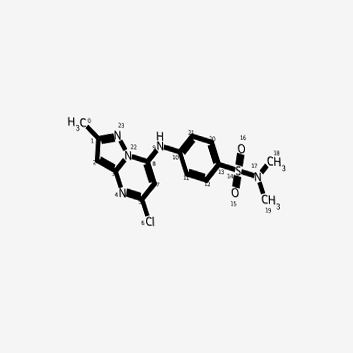 Cc1cc2nc(Cl)cc(Nc3ccc(S(=O)(=O)N(C)C)cc3)n2n1